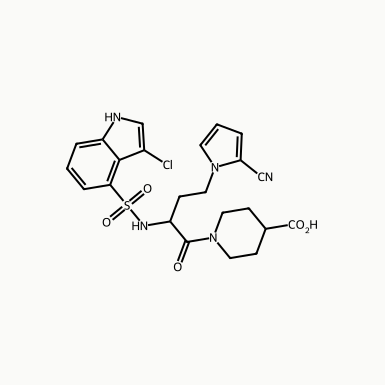 N#Cc1cccn1CCC(NS(=O)(=O)c1cccc2[nH]cc(Cl)c12)C(=O)N1CCC(C(=O)O)CC1